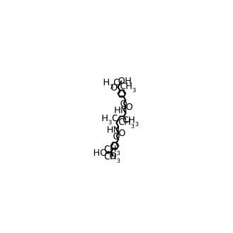 CC(CNC(=O)OCc1ccc(C(=O)C(C)(C)O)cc1)CC(C)(C)CCNC(=O)OCc1ccc(C(=O)C(C)(C)O)cc1